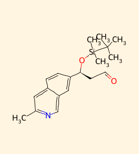 Cc1cc2ccc([C@H](CC=O)O[Si](C)(C)C(C)(C)C)cc2cn1